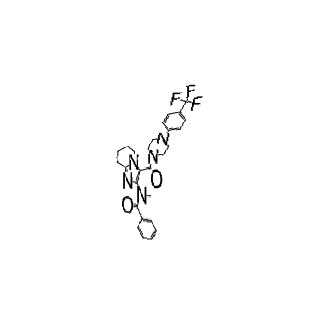 CN(C(=O)c1ccccc1)c1nc2n(c1C(=O)N1CCN(c3ccc(C(F)(F)F)cc3)CC1)CCCC2